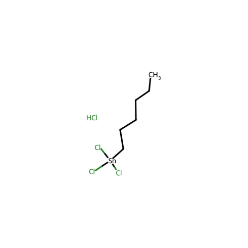 CCCCC[CH2][Sn]([Cl])([Cl])[Cl].Cl